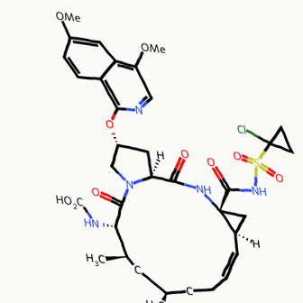 COc1ccc2c(O[C@@H]3C[C@H]4C(=O)N[C@]5(C(=O)NS(=O)(=O)C6(Cl)CC6)C[C@H]5/C=C\CC[C@@H](C)C[C@@H](C)[C@H](NC(=O)O)C(=O)N4C3)ncc(OC)c2c1